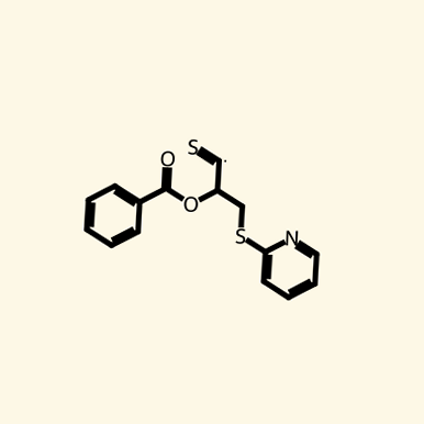 O=C(OC([C]=S)CSc1ccccn1)c1ccccc1